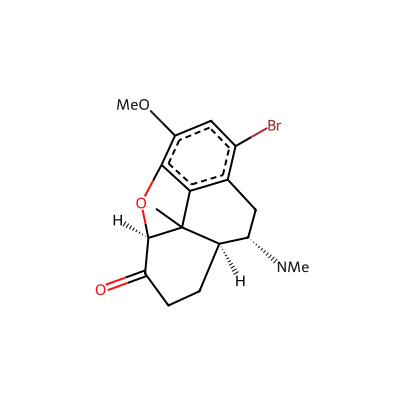 CN[C@H]1Cc2c(Br)cc(OC)c3c2C2(C)[C@H](O3)C(=O)CC[C@H]12